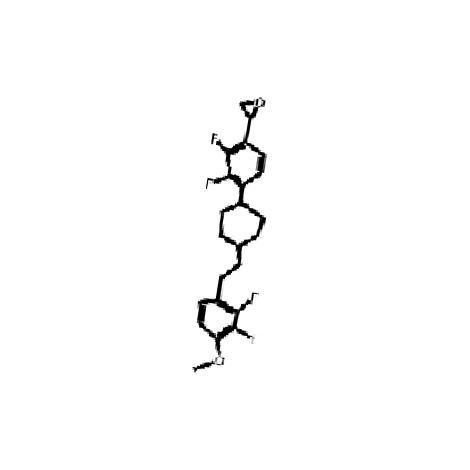 COc1ccc(CCC2CCC(c3ccc(C4CO4)c(F)c3F)CC2)c(F)c1F